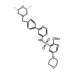 COc1ncc(N2CCOCC2)cc1S(=O)(=O)Nc1ccnc(-c2ccc(CN3C[C@@H](C)O[C@@H](C)C3)cc2)c1